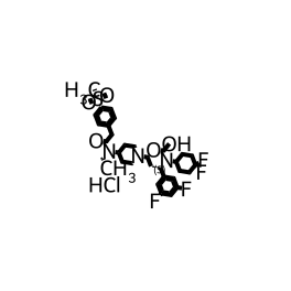 CCN(C(=O)Cc1ccc(S(C)(=O)=O)cc1)C1CCN(CC[C@@H](c2cc(F)cc(F)c2)N(C(=O)O)C2CCC(F)(F)CC2)CC1.Cl